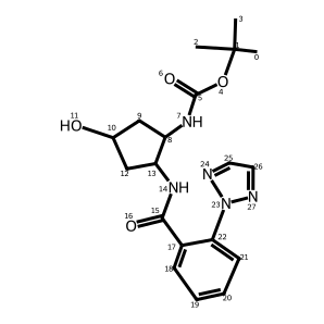 CC(C)(C)OC(=O)NC1CC(O)CC1NC(=O)c1ccccc1-n1nccn1